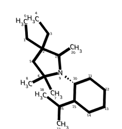 CCC1(CC)CC(C)(C)N([C@@H]2CCCCC2C(C)C)C1C